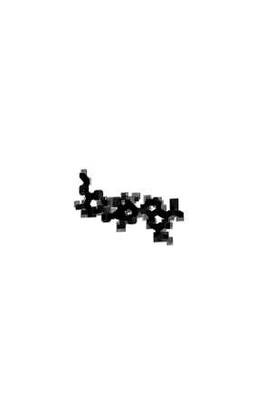 CCOC(=O)[C@H](C)N[PH](=S)OC1[C@H]2O[C@@H](n3cnc4c(NC)nc(N)nc43)[C@](C)(F)[C@@]12O